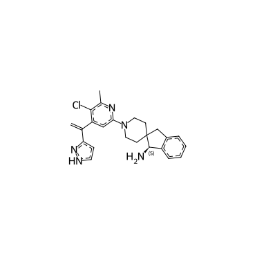 C=C(c1cc[nH]n1)c1cc(N2CCC3(CC2)Cc2ccccc2[C@H]3N)nc(C)c1Cl